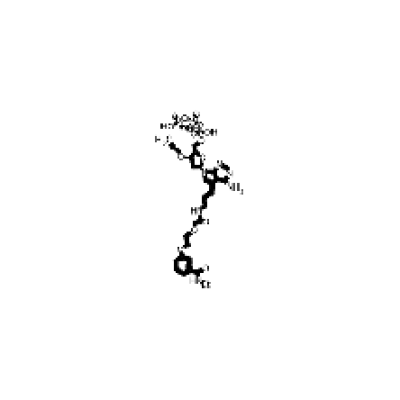 C=CCO[C@@H]1C[C@H](N2C=C(/C=C/CNC(=O)COCCOc3cccc(C(=O)NCC)c3)C3C(N)=NC=NC32)OC1COP(=O)(O)OP(=O)(O)OP(=O)(O)O